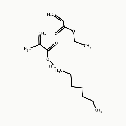 C=C(C)C(=O)OC.C=CC(=O)OCC.CCCCCCC